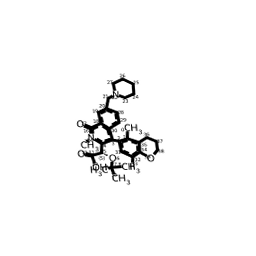 Cc1c(-c2c([C@H](OC(C)(C)C)C(=O)O)n(C)c(=O)c3cc(CN4CCCCC4)ccc23)cc(F)c2c1CCCO2